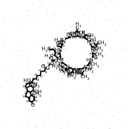 C/C=C/C[C@@H](C)C(OC(=O)OCOC(=O)CCCC[CH]CC(=O)[C@@]1(O)CCC2C3CCC4=CC(=O)C=C[C@]4(C)C3[C@@H](O)C[C@@]21C)[C@H]1C(=O)NC(CC)C(=O)N(C)CC(=O)N(C)[C@@H](CC(C)C)C(=O)NC(C(C)C)C(=O)N(C)[C@H](CC(C)C)C(=O)NC(C)C(=O)N[C@@H](C)C(=O)N(C)[C@H](CC(C)C)C(=O)N(C)C(CC(C)C)C(=O)N(C)[C@H](C(C)C)C(=O)N1C